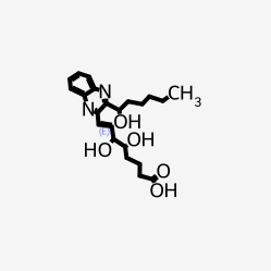 CCCCCC(O)c1nc2ccccc2nc1/C=C/C(O)C(O)CCCC(=O)O